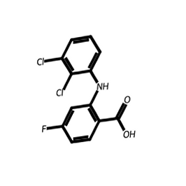 O=C(O)c1ccc(F)cc1Nc1cccc(Cl)c1Cl